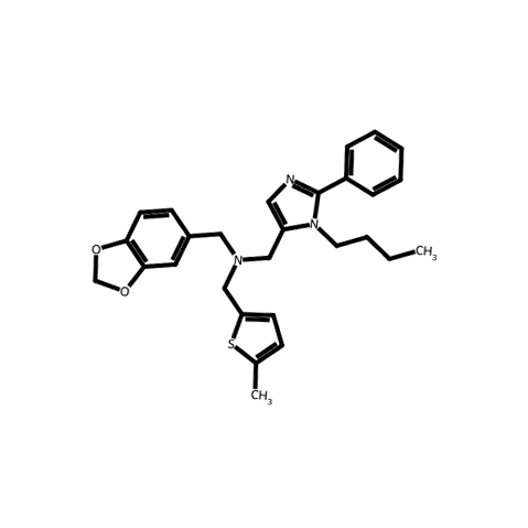 CCCCn1c(CN(Cc2ccc3c(c2)OCO3)Cc2ccc(C)s2)cnc1-c1ccccc1